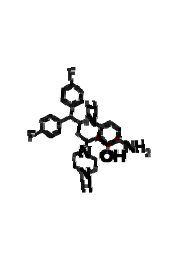 CC(O)CC(CC(Nc1ccc(N)cc1)C(c1ccc(F)cc1)c1ccc(F)cc1)N1CCNCC1